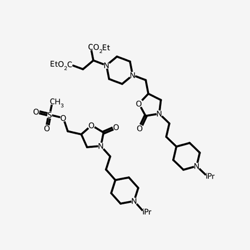 CC(C)N1CCC(CCN2CC(COS(C)(=O)=O)OC2=O)CC1.CCOC(=O)CC(C(=O)OCC)N1CCN(CC2CN(CCC3CCN(C(C)C)CC3)C(=O)O2)CC1